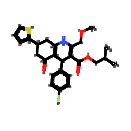 COCC1=C(C(=O)OCC(C)C)C(c2ccc(F)cc2)C2=C(CC(c3cccs3)CC2=O)N1